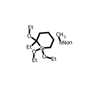 CCCCCCCCCC.CCOC1(CC)CCCC[Si]1(OCC)OCC